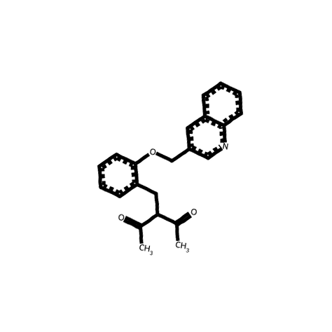 CC(=O)C(Cc1ccccc1OCc1cnc2ccccc2c1)C(C)=O